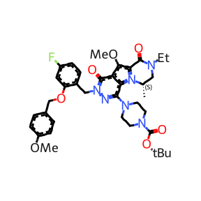 CCN1C[C@H](C)n2c(c(OC)c3c(=O)n(Cc4ccc(F)cc4OCc4ccc(OC)cc4)nc(N4CCN(C(=O)OC(C)(C)C)CC4)c32)C1=O